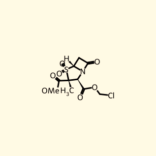 COC(=O)[C@@]1(C)[C@H](C(=O)OCCl)N2C(=O)C[C@H]2S1(=O)=O